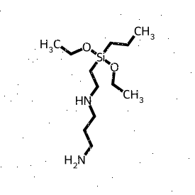 CCC[Si](CCNCCCN)(OCC)OCC